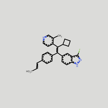 Cc1cnccc1C(=C(c1ccc(C=CC(=O)O)cc1)c1ccc2[nH]nc(F)c2c1)C1CCC1